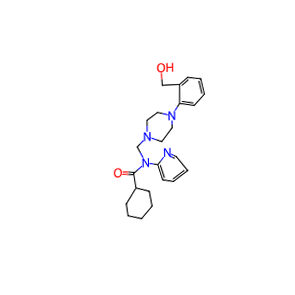 O=C(C1CCCCC1)N(CN1CCN(c2ccccc2CO)CC1)c1ccccn1